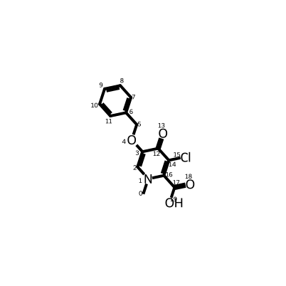 Cn1cc(OCc2ccccc2)c(=O)c(Cl)c1C(=O)O